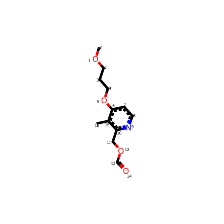 COCCCOc1ccnc(COC=O)c1C